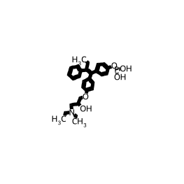 CCC(=C(c1ccc(OCC(O)CN(CC)CC)cc1)c1ccc(OP(O)O)cc1)c1ccccc1